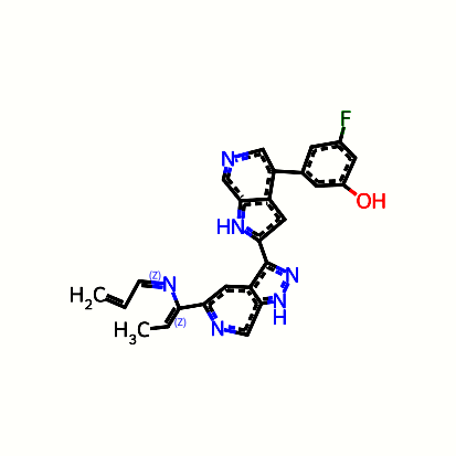 C=C/C=N\C(=C/C)c1cc2c(-c3cc4c(-c5cc(O)cc(F)c5)cncc4[nH]3)n[nH]c2cn1